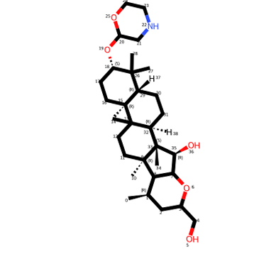 C[C@@H]1CC(CO)OC2C1[C@@]1(C)CCC34C[C@@]35CC[C@H](OC3CNCCO3)C(C)(C)[C@@H]5CC[C@H]4[C@]1(C)[C@H]2O